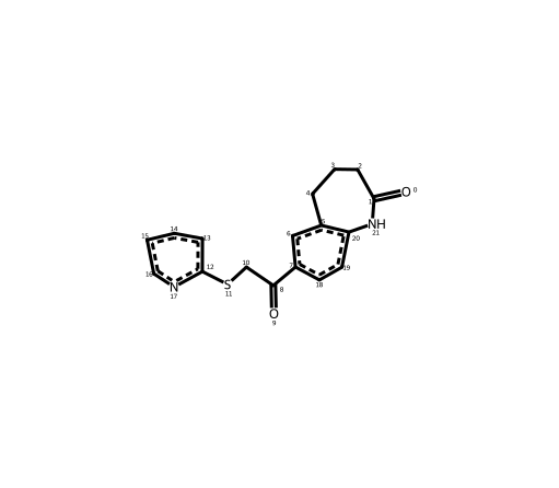 O=C1CCCc2cc(C(=O)CSc3ccccn3)ccc2N1